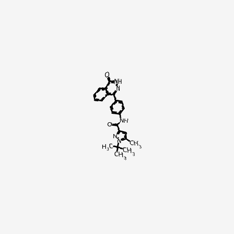 Cc1cc(C(=O)Nc2ccc(-c3n[nH]c(=O)c4ccccc34)cc2)nn1C(C)(C)C